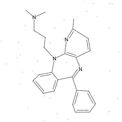 Cc1ccc2c(n1)N(CCCN(C)C)c1ccccc1C(c1ccccc1)=N2